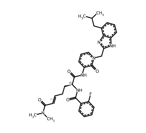 CC(C)Cc1cccc2[nH]c(Cn3cccc(NC(=O)[C@H](CC/C=C/C(=O)N(C)C)NC(=O)c4ccccc4F)c3=O)nc12